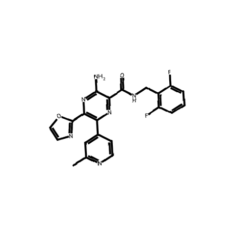 Cc1cc(-c2nc(C(=O)NCc3c(F)cccc3F)c(N)nc2-c2ncco2)ccn1